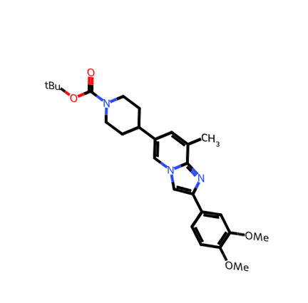 COc1ccc(-c2cn3cc(C4CCN(C(=O)OC(C)(C)C)CC4)cc(C)c3n2)cc1OC